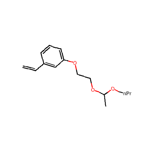 C=Cc1cccc(OCCOC(C)OCCC)c1